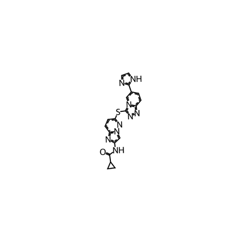 O=C(Nc1cn2nc(Sc3nnc4ccc(-c5ncc[nH]5)cn34)ccc2n1)C1CC1